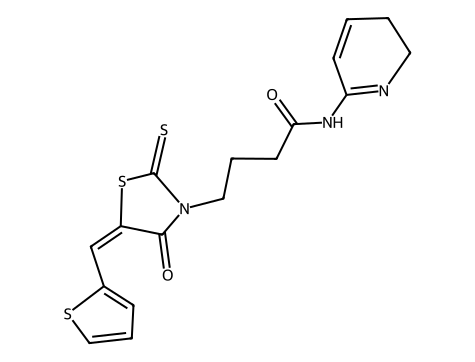 O=C(CCCN1C(=O)/C(=C\c2cccs2)SC1=S)NC1=NCCC=C1